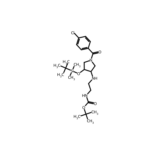 CC(C)(C)OC(=O)NCCNC1CN(C(=O)c2ccc(Cl)cc2)CC1O[Si](C)(C)C(C)(C)C